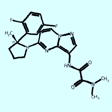 CN(C)C(=O)C(=O)Nc1cnn2ccc(N3CCC[C@]3(C)c3cc(F)ccc3F)nc12